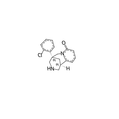 O=c1cccc2n1C[C@]1(c3ccccc3Cl)CNC[C@H]2C1